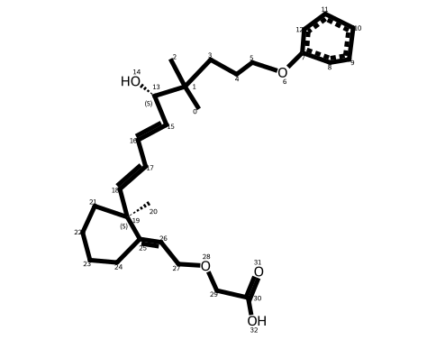 CC(C)(CCCOc1ccccc1)[C@@H](O)C=CC=C[C@]1(C)CCCCC1=CCOCC(=O)O